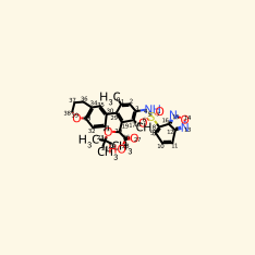 Cc1cc(NS(=O)(=O)c2cccc3nonc23)c(C)c(C(OC(C)(C)C)C(=O)O)c1-c1ccc2c(c1)CCCO2